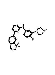 CN1CCN(c2cc(Nc3nccc(-c4ccc5c(c4)C(C)(C)CN=C5)n3)ccc2F)CC1